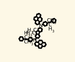 CC(C)(c1ccccc1)c1ccc(N(c2ccc3c(c2)C(C)(C)c2cc(N(c4ccc(C(C)(C)c5ccccc5)cc4)c4ccc5ccc6cccc7ccc4c5c67)ccc2-3)c2ccc3ccc4cccc5ccc2c3c45)cc1